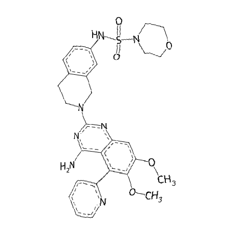 COc1cc2nc(N3CCc4ccc(NS(=O)(=O)N5CCOCC5)cc4C3)nc(N)c2c(-c2ccccn2)c1OC